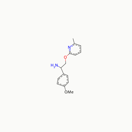 COc1ccc(C(N)COc2cccc(C)n2)cc1